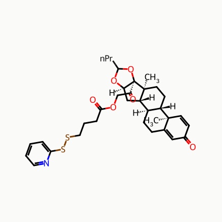 CCCC1O[C@@H]2C[C@H]3[C@@H]4CCC5=CC(=O)C=C[C@]5(C)[C@H]4CC[C@]3(C)[C@]2(C(=O)COC(=O)CCCSSc2ccccn2)O1